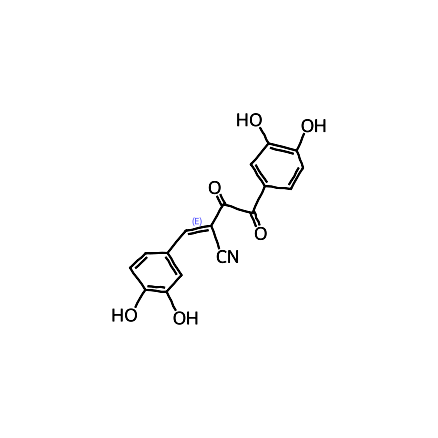 N#C/C(=C\c1ccc(O)c(O)c1)C(=O)C(=O)c1ccc(O)c(O)c1